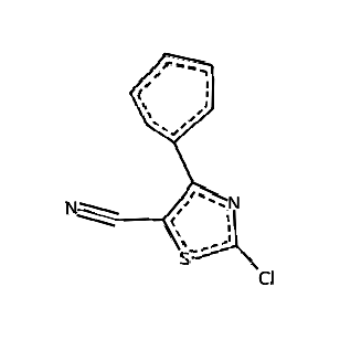 N#Cc1sc(Cl)nc1-c1ccccc1